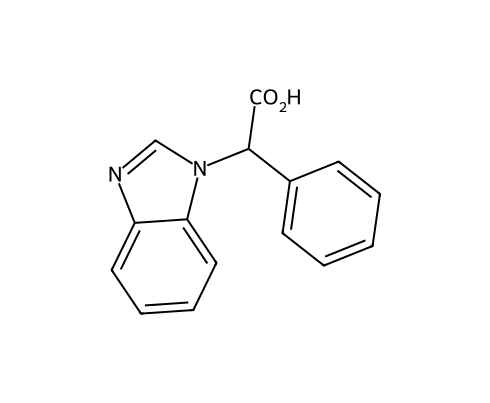 O=C(O)C(c1ccccc1)n1cnc2ccccc21